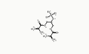 [CH2]C[Si](CC)(CC)OC(COC(=O)C(=C)C)COC(=O)C(=C)C